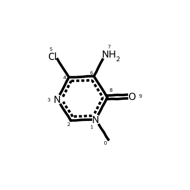 Cn1cnc(Cl)c(N)c1=O